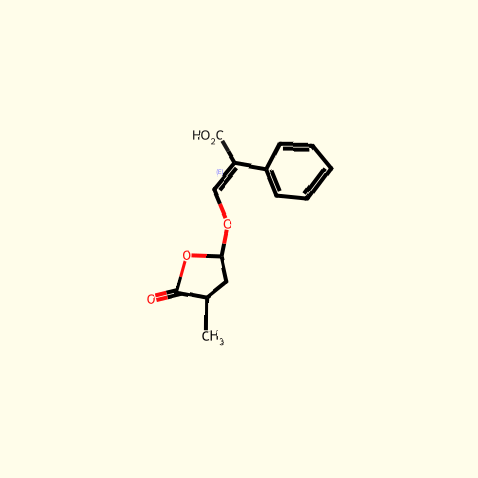 CC1CC(O/C=C(/C(=O)O)c2ccccc2)OC1=O